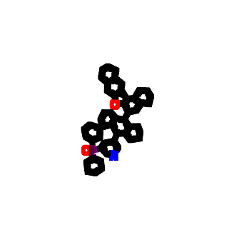 O=P(c1ccccc1)(c1ccccc1)c1cncc(-c2c3ccccc3c(-c3cc4ccccc4c4c3oc3cc5ccccc5cc34)c3ccccc23)c1